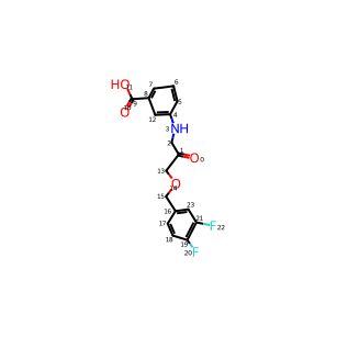 O=C(CNc1cccc(C(=O)O)c1)COCc1ccc(F)c(F)c1